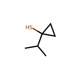 CC(C)C1(S)CC1